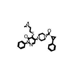 CN(C)CCSc1c(N2CCN(C(=O)[C@@H]3CC3c3ccccc3)CC2)cnn(-c2ccccc2)c1=O